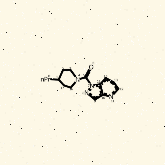 CCCC1CCN(C(=O)n2ncc3ncccc32)CC1